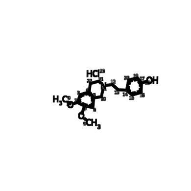 COc1cc2c(cc1OC)CN(CCc1ccc(O)cc1)CC2.Cl